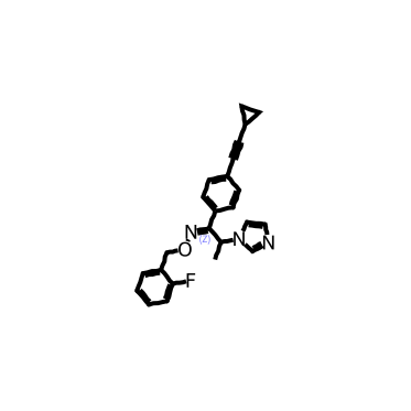 CC(/C(=N\OCc1ccccc1F)c1ccc(C#CC2CC2)cc1)n1ccnc1